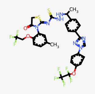 Cc1ccc(OCC(F)(F)F)c(N2C(=O)CS/C2=N\C(=S)NNC(C)c2ccc(-c3ncn(-c4ccc(OC(F)(F)C(F)(F)F)cc4)n3)cc2)c1